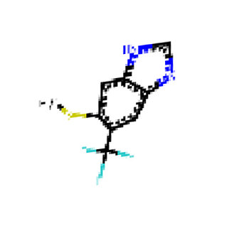 CSc1cc2[nH]cnc2cc1C(F)(F)F